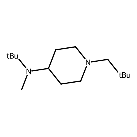 CN(C1CCN(CC(C)(C)C)CC1)C(C)(C)C